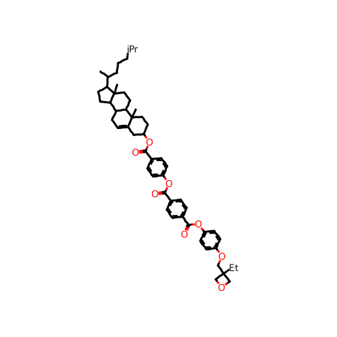 CCC1(COc2ccc(OC(=O)c3ccc(C(=O)Oc4ccc(C(=O)OC5CCC6(C)C(=CCC7C6CCC6(C)C(C(C)CCCC(C)C)CCC76)C5)cc4)cc3)cc2)COC1